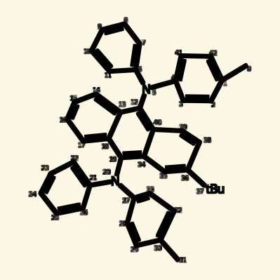 Cc1ccc(N(c2ccccc2)c2c3ccccc3c(N(c3ccccc3)c3ccc(C)cc3)c3cc(C(C)(C)C)ccc23)cc1